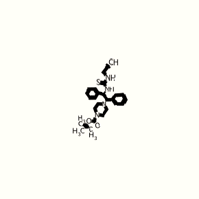 C#CCNC(=S)N[C@H](c1ccccc1)[C@H](c1ccccc1)N1CCN(C(=O)OC(C)(C)C)CC1